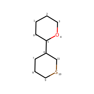 [C]1CCCOC1C1CCCSC1